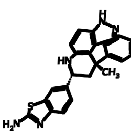 C[C@@]1(c2ccccc2)C[C@H](c2ccc3nc(N)sc3c2)Nc2ccc3[nH]ncc3c21